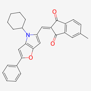 Cc1ccc2c(c1)C(=O)/C(=C\c1cc3oc(-c4ccccc4)cc3n1C1CCCCC1)C2=O